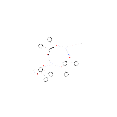 COCCOCCOCCN1CCNC(=O)c2ccc(c(OCc3ccccc3)c2OCc2ccccc2)C(=O)NCCN(CCNC(=O)c2ccc(C(=O)N3CCSC3=S)c(OCc3ccccc3)c2OCc2ccccc2)CCNC(=O)c2ccc(c(OCc3ccccc3)c2OCc2ccccc2)C(=O)NCC1